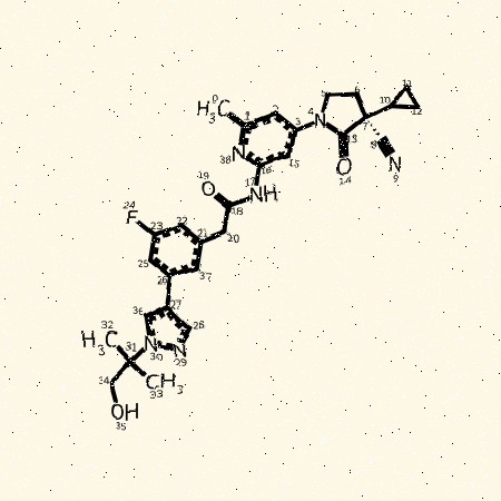 Cc1cc(N2CC[C@@](C#N)(C3CC3)C2=O)cc(NC(=O)Cc2cc(F)cc(-c3cnn(C(C)(C)CO)c3)c2)n1